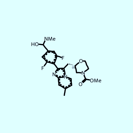 CNC(O)c1cc(F)c(-c2nc3cc(C)ccn3c2C[C@H]2CN(C(=O)OC)CCO2)c(F)c1